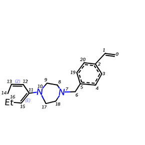 C=Cc1ccc(CN2CCN(C(/C=C\C)=C/CC)CC2)cc1